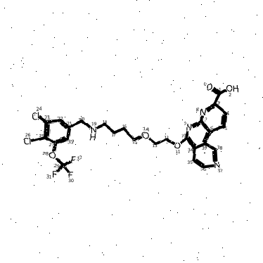 O=C(O)c1ccc2c(n1)nc(OCCOCCCCNCc1cc(Cl)c(Cl)c(OC(F)(F)F)c1)c1ccncc12